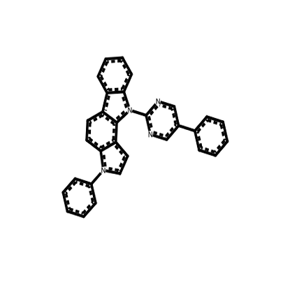 c1ccc(-c2cnc(-n3c4ccccc4c4ccc5c(ccn5-c5ccccc5)c43)nc2)cc1